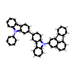 c1ccc(-n2c3ccccc3c3ccc(-c4ccc5c(c4)c4ccccc4n5-c4cc5c6c(cccc6c4)-c4ccccc4-5)cc32)cc1